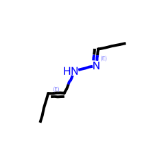 C/C=C/N/N=C/C